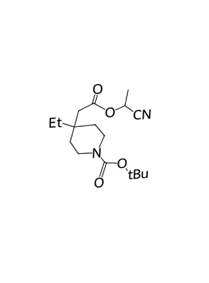 CCC1(CC(=O)OC(C)C#N)CCN(C(=O)OC(C)(C)C)CC1